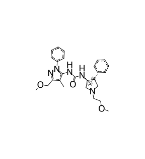 COCCN1C[C@@H](NC(=O)Nc2c(C)c(COC)nn2-c2ccccc2)[C@H](c2ccccc2)C1